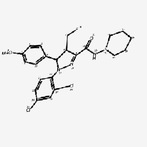 COc1ccc(C2C(CF)C(C(=O)NN3CCCCC3)=NN2c2ccc(Cl)cc2Cl)cc1